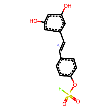 O=S(=O)(F)Oc1ccc(/C=C/c2cc(O)cc(O)c2)cc1